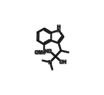 COc1cccc2[nH]cc(C(C)C(O)(O)N(C)C)c12